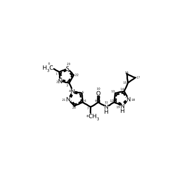 Cc1nc(-n2cc(C(C)C(=O)Nc3cc(C4CC4)n[nH]3)cn2)cs1